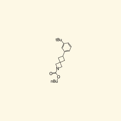 CCCCOC(=O)N1CC2(CC(c3cccc(C(C)(C)C)c3)C2)C1